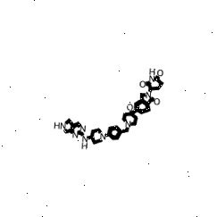 O=C1CCC(N2Cc3cc(C4(O)CCN(Cc5ccc(N6CCC(Nc7ncc8c(n7)CNC8)CC6)cc5)CC4)ccc3C2=O)C(=O)N1